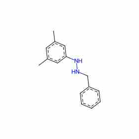 Cc1cc(C)cc(NNCc2ccccc2)c1